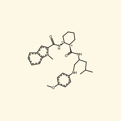 COc1ccc(NCC(CC(C)C)NC(=O)[C@@H]2CCCC[C@@H]2NC(=O)c2cc3ccccc3n2C)cc1